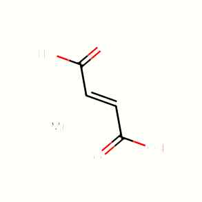 O=C(O)C=CC(=O)O.[Mn]